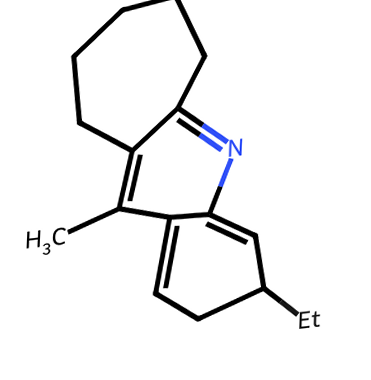 CCC1C=c2nc3c(c(C)c2=CC1)CCCCC3